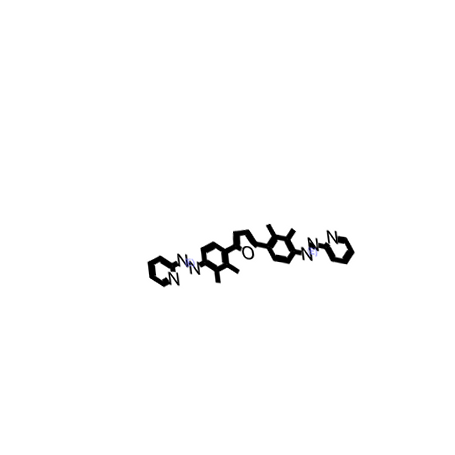 Cc1c(/N=N/c2ccccn2)ccc(-c2ccc(-c3ccc(/N=N/c4ccccn4)c(C)c3C)o2)c1C